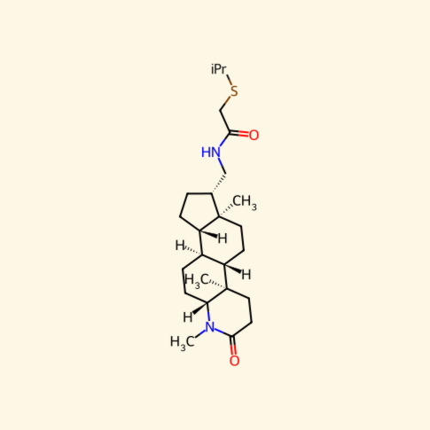 CC(C)SCC(=O)NC[C@H]1CC[C@H]2[C@@H]3CC[C@H]4N(C)C(=O)CC[C@]4(C)[C@H]3CC[C@]12C